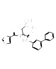 O=C(NC(CB(O)O)C(=O)Nc1cccc(-c2ccccc2)c1)c1cncs1